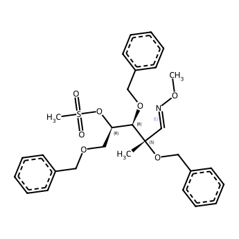 CO/N=C/[C@](C)(OCc1ccccc1)[C@H](OCc1ccccc1)[C@@H](COCc1ccccc1)OS(C)(=O)=O